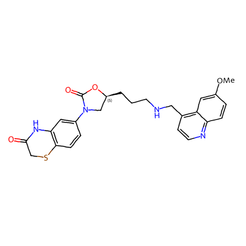 COc1ccc2nccc(CNCCC[C@H]3CN(c4ccc5c(c4)NC(=O)CS5)C(=O)O3)c2c1